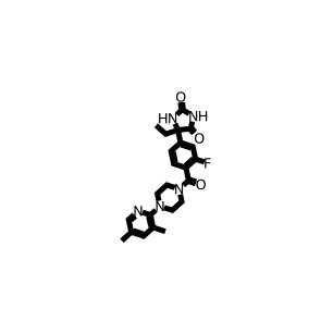 CCC1(c2ccc(C(=O)N3CCN(c4ncc(C)cc4C)CC3)c(F)c2)NC(=O)NC1=O